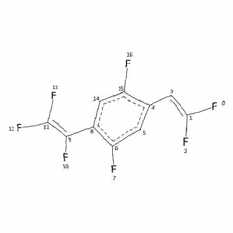 FC(F)=Cc1cc(F)c(C(F)=C(F)F)cc1F